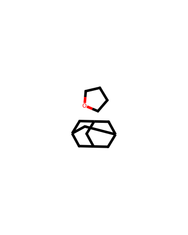 C1C2CC3CC1CC(C2)C3.C1CCOC1